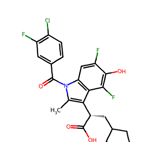 Cc1c([C@H](CC2CCCC2)C(=O)O)c2c(F)c(O)c(F)cc2n1C(=O)c1ccc(Cl)c(F)c1